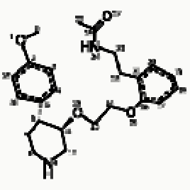 COc1ccc([C@H]2CCNC[C@@H]2OCCOc2ccccc2CCNC(C)=O)cc1